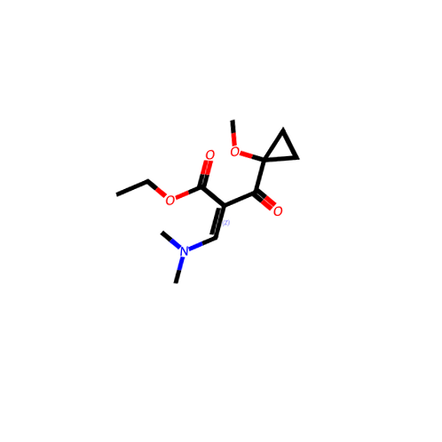 CCOC(=O)/C(=C\N(C)C)C(=O)C1(OC)CC1